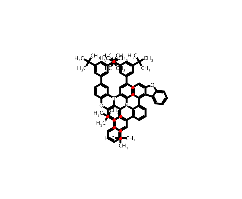 CC(C)(C)c1cc(-c2ccc3c(c2)B2c4cc(-c5cc(C(C)(C)C)cc(C(C)(C)C)c5)ccc4N(c4c(-c5cc(C(C)(C)C)cc(C(C)(C)C)c5)cccc4-c4cccc5oc6ccccc6c45)c4cc(-c5ccccc5)cc(c42)O3)cc(C(C)(C)C)c1